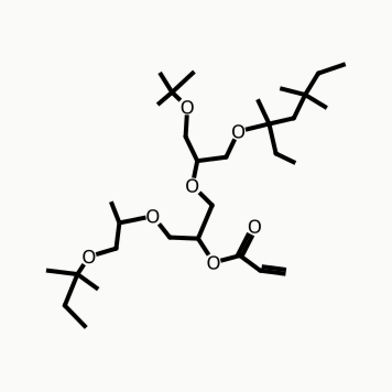 C=CC(=O)OC(COC(C)COC(C)(C)CC)COC(COC(C)(C)C)COC(C)(CC)CC(C)(C)CC